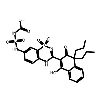 CCCC1(CCC)C(=O)C(C2=NS(=O)(=O)c3cc(NS(=O)(=O)NC(=O)O)ccc3N2)=C(O)c2ccccc21